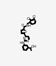 CC(O)c1cccc(Nc2nccc(-c3ccc(C(=O)NCc4cccc(Cl)c4Cl)s3)n2)c1